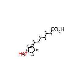 O=C(O)CCCCCCC1=C[C@H](O)CC1